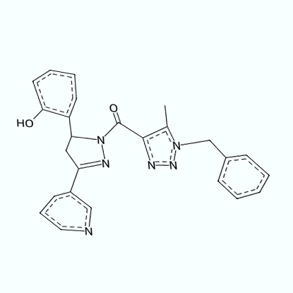 Cc1c(C(=O)N2N=C(c3cccnc3)CC2c2ccccc2O)nnn1Cc1ccccc1